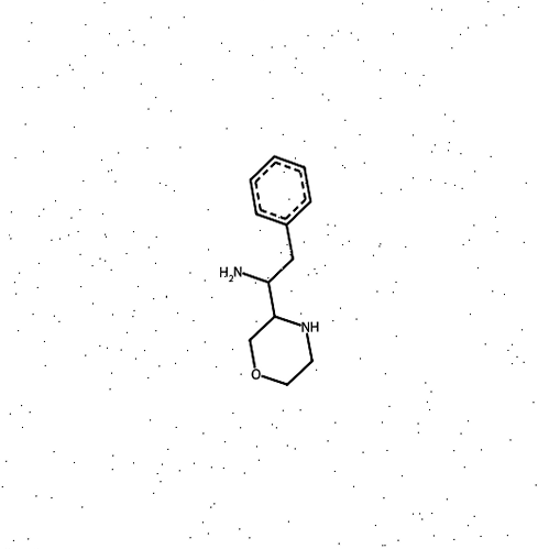 NC(Cc1ccccc1)C1COCCN1